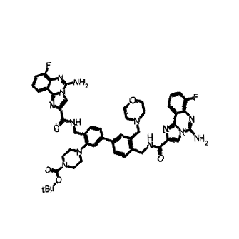 CC(C)(C)OC(=O)N1CCN(c2cc(-c3ccc(CNC(=O)c4cn5c(N)nc6c(F)cccc6c5n4)c(CN4CCOCC4)c3)ccc2CNC(=O)c2cn3c(N)nc4c(F)cccc4c3n2)CC1